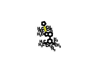 CC1CC2C(C3CC(C(C)(C)C)CC(C(C)(C)C)C3)CCCC2C1S(C)(C)S(C)(C)C1CCCC1